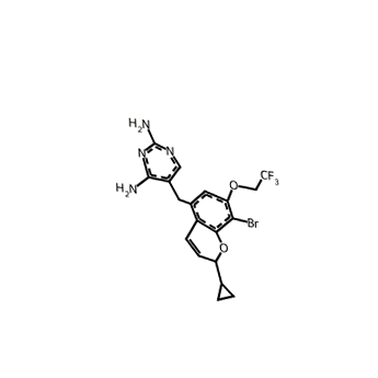 Nc1ncc(Cc2cc(OCC(F)(F)F)c(Br)c3c2C=CC(C2CC2)O3)c(N)n1